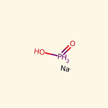 O=[PH2]O.[Na]